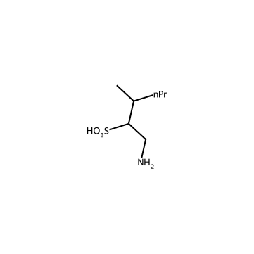 CCCC(C)C(CN)S(=O)(=O)O